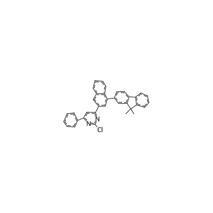 CC1(C)c2ccccc2-c2ccc(-c3cc(-c4cc(-c5ccccc5)nc(Cl)n4)cc4ccccc34)cc21